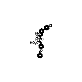 O=C(NC(Cc1ccc(OCc2ccccc2)cc1)C(=O)O)c1cc2cc(-c3ccc(Cl)cc3)ccc2[nH]c1=O